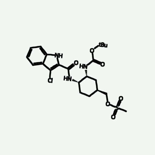 CC(C)(C)OC(=O)N[C@@H]1C[C@@H](COS(C)(=O)=O)CC[C@@H]1NC(=O)c1[nH]c2ccccc2c1Cl